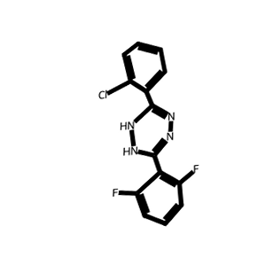 Fc1cccc(F)c1C1=NN=C(c2ccccc2Cl)NN1